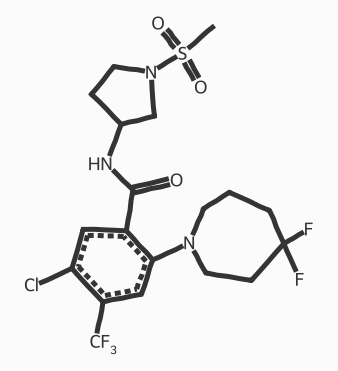 CS(=O)(=O)N1CCC(NC(=O)c2cc(Cl)c(C(F)(F)F)cc2N2CCCC(F)(F)CC2)C1